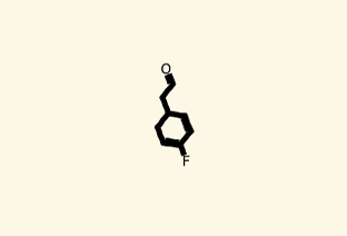 O=CCC1C=CC(F)=CC1